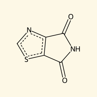 O=C1NC(=O)c2scnc21